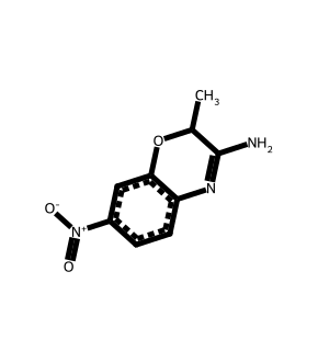 CC1Oc2cc([N+](=O)[O-])ccc2N=C1N